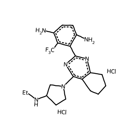 CCNC1CCN(c2nc(-c3c(N)ccc(N)c3C(F)(F)F)nc3c2CCCC3)C1.Cl.Cl